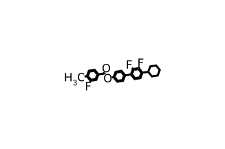 Cc1ccc(C(=O)Oc2ccc(-c3ccc(C4CCCCC4)c(F)c3F)cc2)cc1F